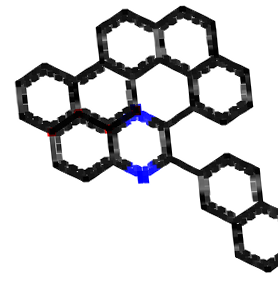 c1ccc2cc(-c3nc4ccccc4nc3-c3cccc4ccc5ccc6c7ccccc7ccc6c5c34)ccc2c1